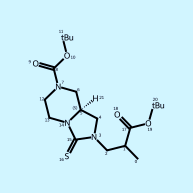 CC(CN1C[C@@H]2CN(C(=O)OC(C)(C)C)CCN2C1=S)C(=O)OC(C)(C)C